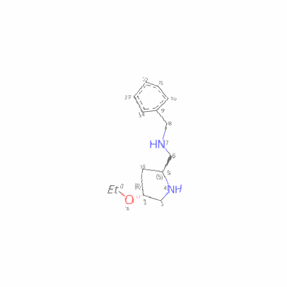 CCO[C@H]1CN[C@H](CNCc2ccccc2)C1